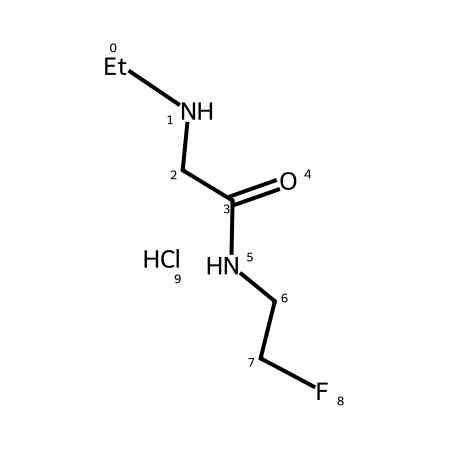 CCNCC(=O)NCCF.Cl